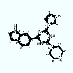 c1cn(-c2nc(-c3ccc4cc[nH]c4c3)nc(N3CCOCC3)n2)cn1